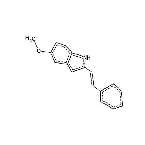 COc1ccc2[nH]c(C=Cc3ccccc3)cc2c1